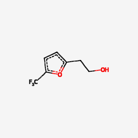 OCCc1ccc(C(F)(F)F)o1